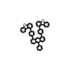 c1ccc(-c2c3cccc(-c4ccc(-c5cccc6oc7ccccc7c56)cc4)c3cc3c(-c4ccc(-c5cccc6oc7ccccc7c56)cc4)cccc23)cc1